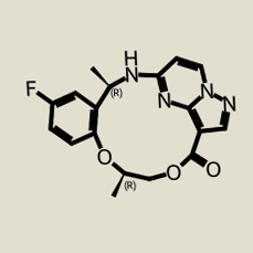 C[C@@H]1COC(=O)c2cnn3ccc(nc23)N[C@H](C)c2cc(F)ccc2O1